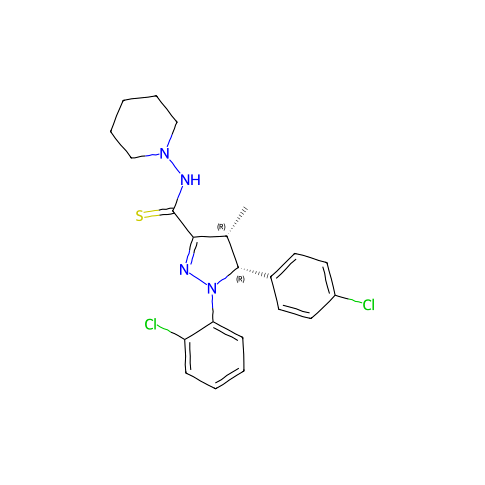 C[C@H]1C(C(=S)NN2CCCCC2)=NN(c2ccccc2Cl)[C@H]1c1ccc(Cl)cc1